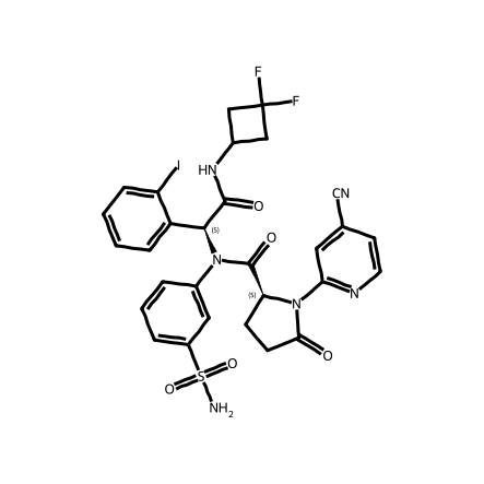 N#Cc1ccnc(N2C(=O)CC[C@H]2C(=O)N(c2cccc(S(N)(=O)=O)c2)[C@H](C(=O)NC2CC(F)(F)C2)c2ccccc2I)c1